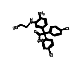 COC(=O)C(c1ccc(Cl)cc1)(c1ccc(Cl)cc1)c1ccc(N)c(NCCO)c1